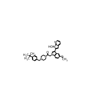 COc1ccc2c(c1)c(-c1cc3cccnc3n1O)cn2CC(=O)N1CCN(Cc2ccc(C(C)(C)C)cc2)CC1